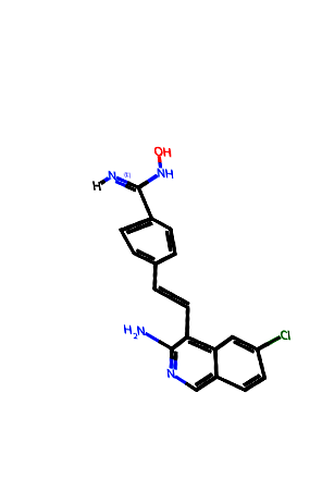 [H]/N=C(/NO)c1ccc(C=Cc2c(N)ncc3ccc(Cl)cc23)cc1